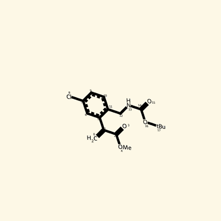 C=C(C(=O)OC)c1cc(Cl)ccc1CNC(=O)OC(C)(C)C